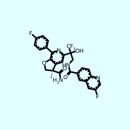 C[C@]1(C(N)=O)COc2c1cc(C(O)(CNC(=O)c1ccc3ncc(F)cc3c1)C(F)(F)F)nc2-c1ccc(F)cc1